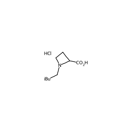 CCC(C)CN1CCC1C(=O)O.Cl